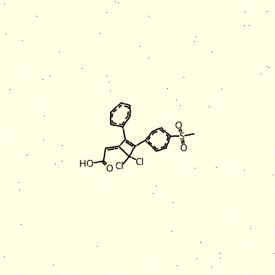 CS(=O)(=O)c1ccc(C2=C(c3ccccc3)C(=CC(=O)O)C2(Cl)Cl)cc1